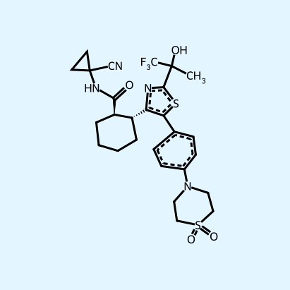 CC(O)(c1nc([C@@H]2CCCC[C@H]2C(=O)NC2(C#N)CC2)c(-c2ccc(N3CCS(=O)(=O)CC3)cc2)s1)C(F)(F)F